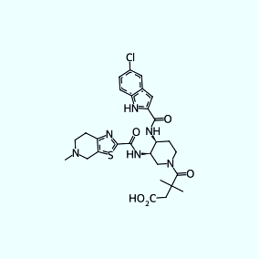 CN1CCc2nc(C(=O)N[C@@H]3CN(C(=O)C(C)(C)CC(=O)O)CC[C@@H]3NC(=O)c3cc4cc(Cl)ccc4[nH]3)sc2C1